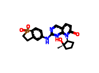 C[C@@]1(O)CCC[C@H]1n1c(=O)ccc2cnc(Nc3ccc4c(c3)CCS4(=O)=O)nc21